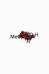 CC[C@H](NC(=O)[C@@H]1C[C@@H](Oc2cc(-c3ccccc3)nc3cc(OC)ccc23)C[C@H]1C(=O)N[C@@H](C(=O)NCC(=O)OCC1CCCCC1)C(C)C)C(=O)O